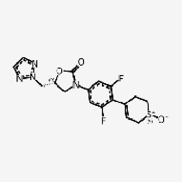 O=C1O[C@@H](Cn2nccn2)CN1c1cc(F)c(C2=CC[S@+]([O-])CC2)c(F)c1